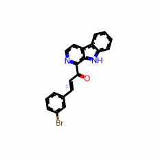 O=C(/C=C/c1cccc(Br)c1)c1nccc2c1[nH]c1ccccc12